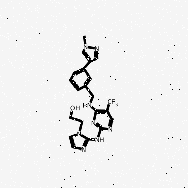 Cn1cc(-c2cccc(CNc3nc(Nc4nccn4CCO)ncc3C(F)(F)F)c2)cn1